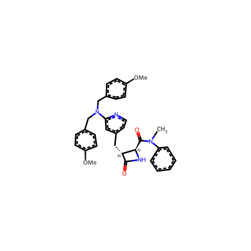 COc1ccc(CN(Cc2ccc(OC)cc2)c2cc(C[C@H]3C(=O)N[C@@H]3C(=O)N(C)c3ccccc3)ccn2)cc1